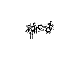 CC[C@H](C(=O)Nc1ccc(Oc2cccc3c2C2(CC2)CO3)nc1)N(C(=O)O)C(C)(C)C